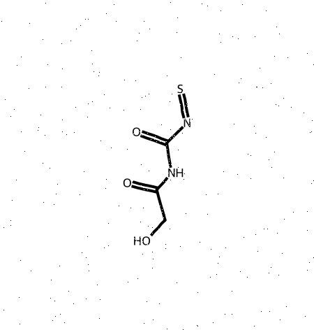 O=C(CO)NC(=O)N=S